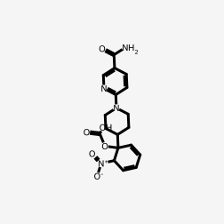 NC(=O)c1ccc(N2CCC(C3(OC(=O)O)C=CC=CC3[N+](=O)[O-])CC2)nc1